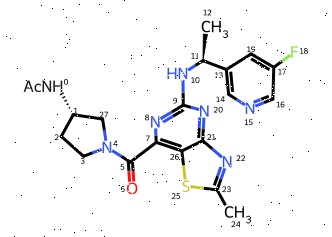 CC(=O)N[C@H]1CCN(C(=O)c2nc(N[C@@H](C)c3cncc(F)c3)nc3nc(C)sc23)C1